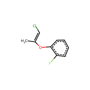 CC(=CCl)Oc1ccc[c]c1F